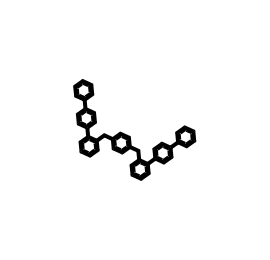 c1ccc(-c2ccc(-c3ccccc3Cc3ccc(Cc4ccccc4-c4ccc(-c5ccccc5)cc4)cc3)cc2)cc1